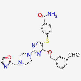 NC(=O)c1ccc(Sc2cnc(N3CCN(Cc4ncco4)CC3)nc2OCc2cccc(C=O)c2)cc1